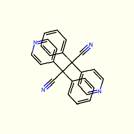 N#CC(c1ccccc1)(c1ccncc1)C(C#N)(c1ccccc1)c1ccncc1